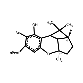 CCCCCc1cc2c(c(O)c1C(C)=O)C1C3[C@@H](CC[C@@]3(C)O2)C1(C)C